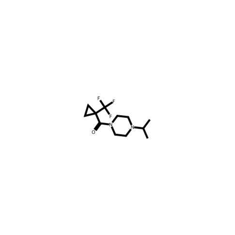 CC(C)N1CCN(C(=O)C2(C(F)(F)F)CC2)CC1